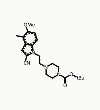 COc1ccc2c(cc(C#N)n2CCN2CCN(C(=O)OC(C)(C)C)CC2)c1C